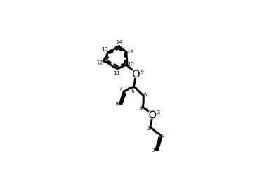 C=C[CH]OCCC(C=C)Oc1ccccc1